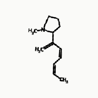 C=C(/C=C\C=C/C)C1CCCN1C